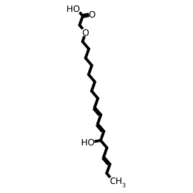 CCC=CCC(O)C=CC=CCCCCCCCCOCC(=O)O